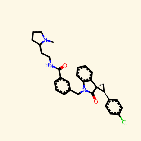 CN1CCCC1CCNC(=O)c1cccc(CN2C(=O)[C@@]3(C[C@H]3c3ccc(Cl)cc3)c3ccccc32)c1